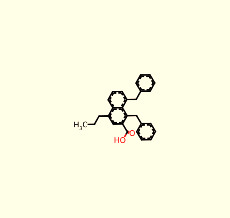 CCCc1cc(C(=O)O)c(Cc2ccccc2)c2c(Cc3ccccc3)cccc12